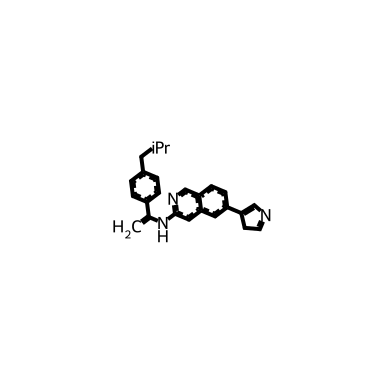 C=C(Nc1cc2cc(C3=CN=CC3)ccc2cn1)c1ccc(CC(C)C)cc1